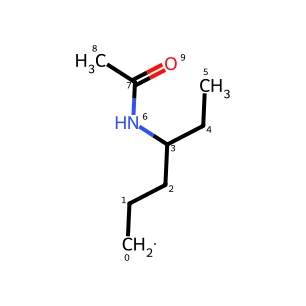 [CH2]CCC(CC)NC(C)=O